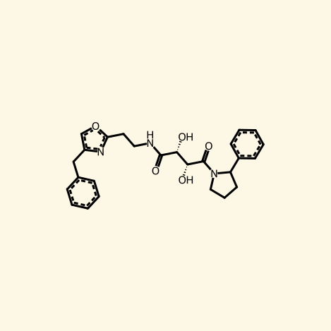 O=C(NCCc1nc(Cc2ccccc2)co1)[C@H](O)[C@@H](O)C(=O)N1CCCC1c1ccccc1